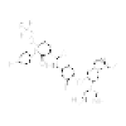 CCn1ncc2cc(Oc3ccc(NC(=O)c4ccc(OCC(F)(F)F)n(-c5ccc(F)cc5)c4=O)cc3F)c(/C(C=N)=C/N)cc21